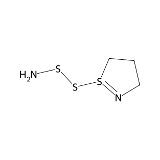 NSSS1=NCCC1